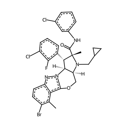 Cc1c(Br)ccc2nn3c(c12)OC[C@H]1[C@@H]3[C@H](c2cccc(Cl)c2F)[C@](C)(C(=O)Nc2cccc(Cl)c2)N1CC1CC1